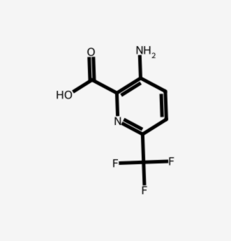 Nc1ccc(C(F)(F)F)nc1C(=O)O